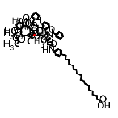 CC(=O)O[C@H]1C(=O)[C@@]2(C)[C@H]([C@H](OC(=O)c3ccccc3)[C@]3(O)C[C@H](OC(=O)[C@H](OC(=O)CC(=O)Nc4ccc(CCCCCCCCCCCCCCCCCCC(=O)O)cc4)[C@@H](NC(=O)c4ccccc4)c4ccccc4)C(C)=C1C3(C)C)[C@]1(OC(C)=O)CC[C@@H]1C[C@@H]2O